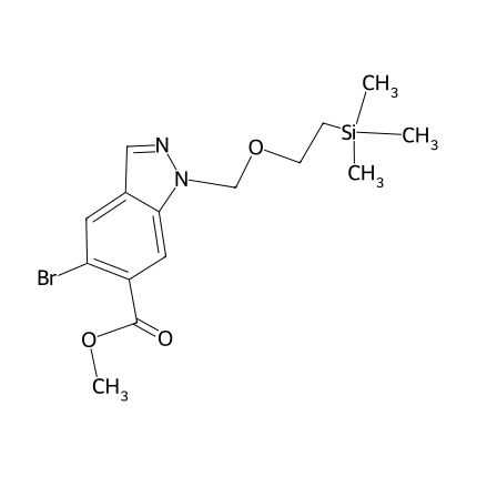 COC(=O)c1cc2c(cnn2COCC[Si](C)(C)C)cc1Br